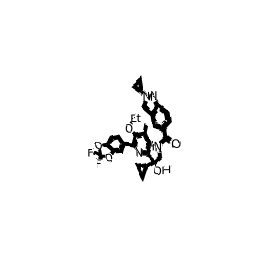 CCOc1c(C)cc([C@@](O)(CNC(=O)c2ccc3nn(C4CC4)cc3c2)C2CC2)nc1-c1ccc2c(c1)OC(F)(F)O2